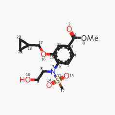 COC(=O)c1ccc(N(CCO)S(C)(=O)=O)c(OCC2CC2)c1